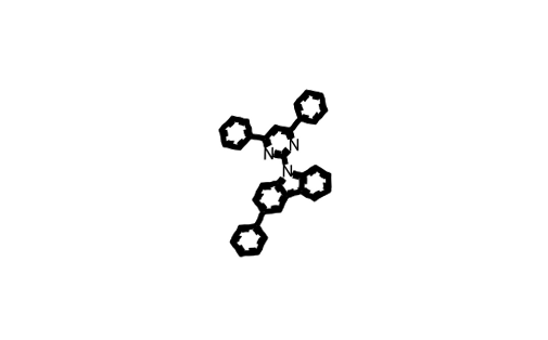 c1ccc(-c2ccc3c(c2)c2ccccc2n3-c2nc(-c3ccccc3)cc(-c3ccccc3)n2)cc1